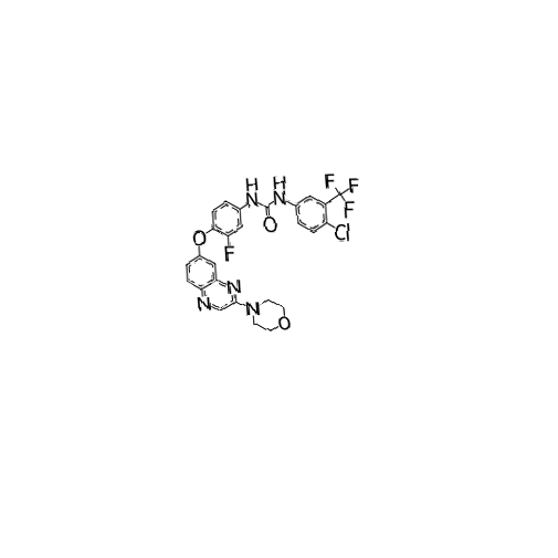 O=C(Nc1ccc(Oc2ccc3ncc(N4CCOCC4)nc3c2)c(F)c1)Nc1ccc(Cl)c(C(F)(F)F)c1